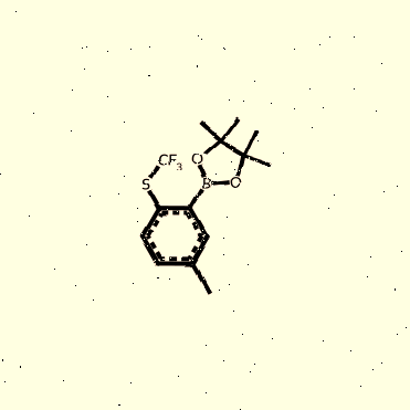 Cc1ccc(SC(F)(F)F)c(B2OC(C)(C)C(C)(C)O2)c1